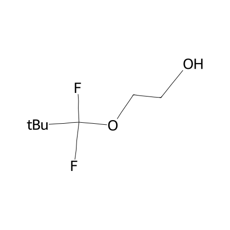 CC(C)(C)C(F)(F)OCCO